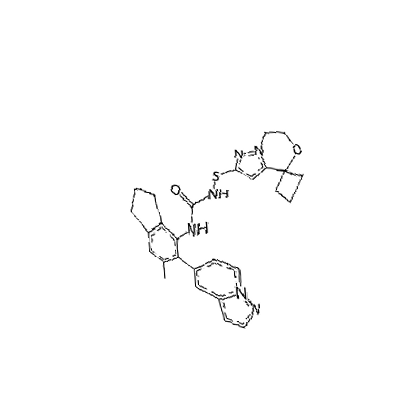 Cc1cc2c(c(NC(=O)NSc3cc4n(n3)CCOC43CCC3)c1-c1ccn3nccc3c1)CCC2